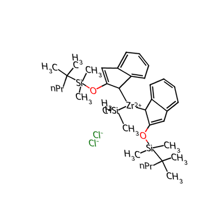 CCCC(C)(C)[Si](C)(C)OC1=Cc2ccccc2[CH]1[Zr+2]([CH]1C(O[Si](C)(C)C(C)(C)CCC)=Cc2ccccc21)[SiH](C)C.[Cl-].[Cl-]